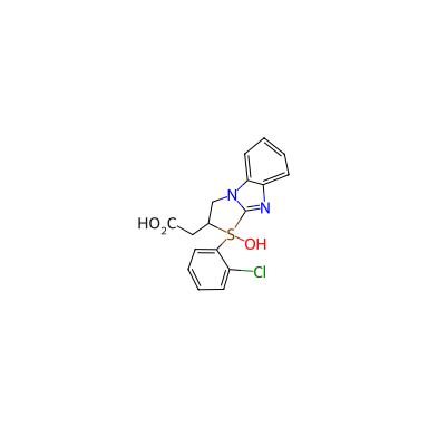 O=C(O)CC1Cn2c(nc3ccccc32)S1(O)c1ccccc1Cl